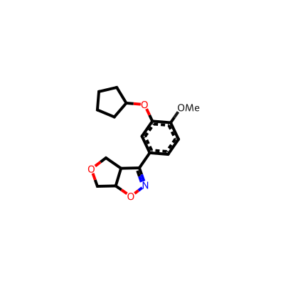 COc1ccc(C2=NOC3COCC23)cc1OC1CCCC1